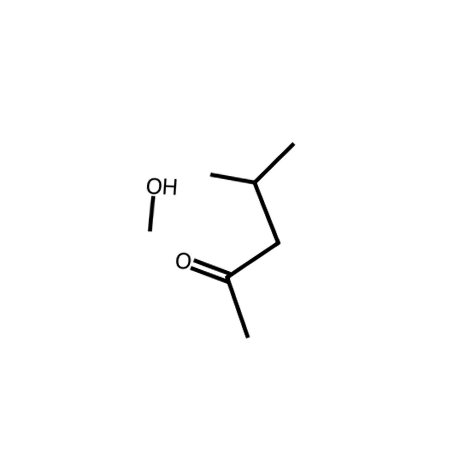 CC(=O)CC(C)C.CO